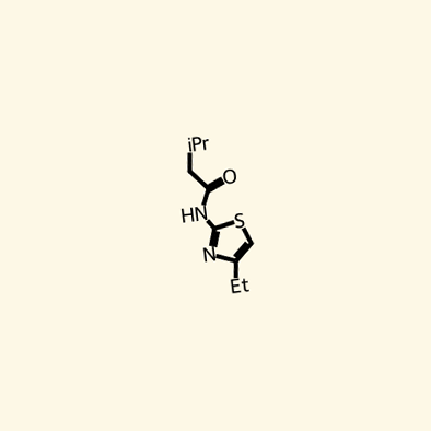 CCc1csc(NC(=O)CC(C)C)n1